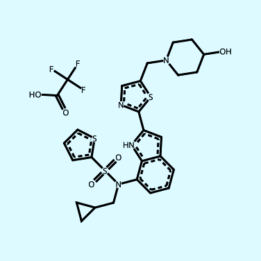 O=C(O)C(F)(F)F.O=S(=O)(c1cccs1)N(CC1CC1)c1cccc2cc(-c3ncc(CN4CCC(O)CC4)s3)[nH]c12